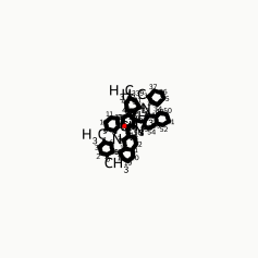 Cc1ccc(C)c(N(c2ccccc2C)c2c3ccccc3cc3c2c2cccc4c5c(N(c6ccccc6C)c6cc(C)ccc6C)c6ccccc6cc5n3c24)c1